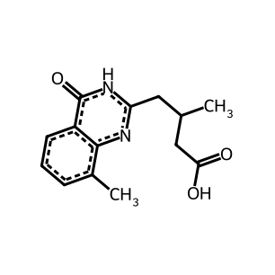 Cc1cccc2c(=O)[nH]c(CC(C)CC(=O)O)nc12